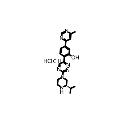 Cc1cc(-c2ccc(-c3cnc(N4CCN[C@H](C(C)C)C4)nn3)c(O)c2)ncn1.Cl.Cl